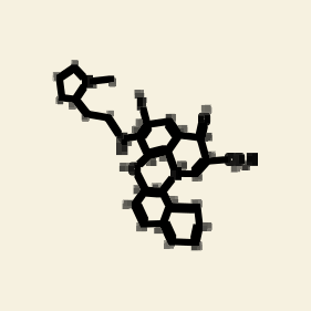 CN1CCCC1CCNc1c(F)cc2c(=O)c(C(=O)O)cn3c2c1Oc1ccc2ccccc2c1-3